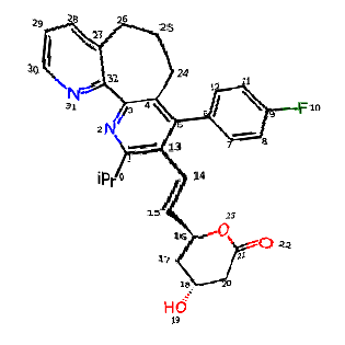 CC(C)c1nc2c(c(-c3ccc(F)cc3)c1/C=C/[C@@H]1C[C@@H](O)CC(=O)O1)CCCc1cccnc1-2